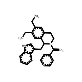 C=C(c1ccncc1)N1CCc2cc(CC)c(CC)cc2C1Cc1c[nH]c2ccccc12